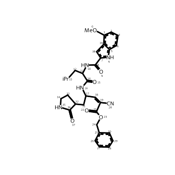 COc1cccc2[nH]c(C(=O)NC(CC(C)C)C(=O)NC(/C=C(/C#N)C(=O)OCc3ccccc3)CC3CCNC3=O)cc12